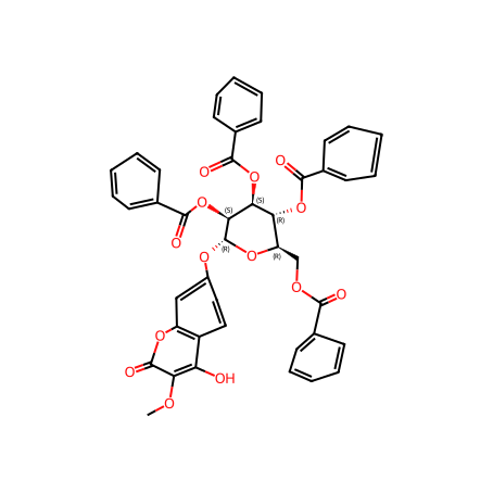 COc1c(O)c2ccc(O[C@H]3O[C@H](COC(=O)c4ccccc4)[C@@H](OC(=O)c4ccccc4)[C@H](OC(=O)c4ccccc4)[C@@H]3OC(=O)c3ccccc3)cc2oc1=O